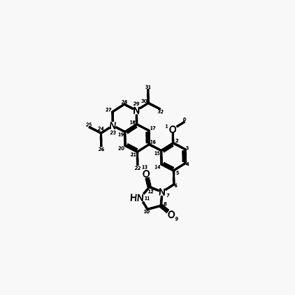 COc1ccc(CN2C(=O)CNC2=O)cc1-c1cc2c(cc1C)N(C(C)C)CCN2C(C)C